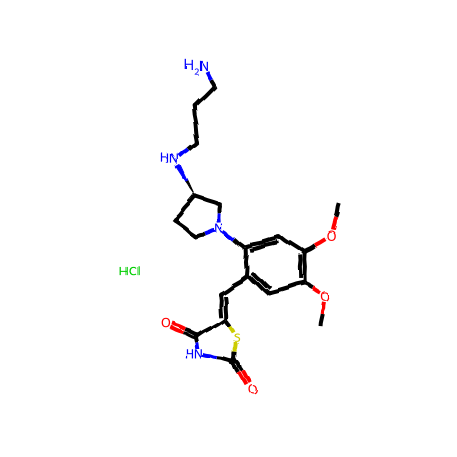 COc1cc(/C=C2\SC(=O)NC2=O)c(N2CC[C@@H](NCCCN)C2)cc1OC.Cl